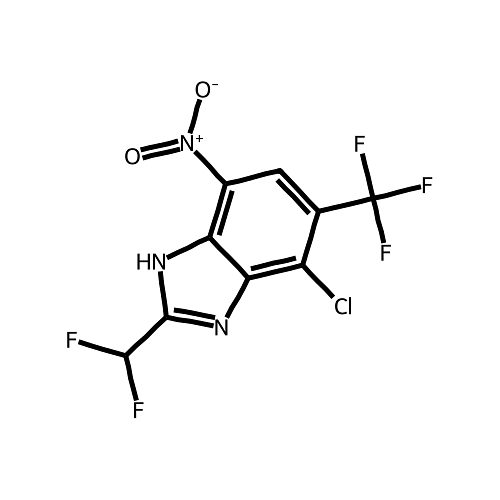 O=[N+]([O-])c1cc(C(F)(F)F)c(Cl)c2nc(C(F)F)[nH]c12